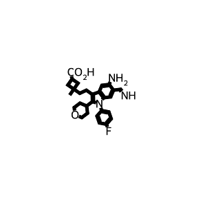 CC1(CCc2c(C3CCOCC3)n(-c3ccc(F)cc3)c3cc(C=N)c(N)cc23)CC(C(=O)O)C1